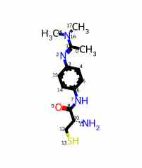 C/C(=N\c1ccc(NC(=O)[C@H](N)CS)cc1)N(C)C